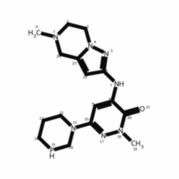 CN1CCn2nc(Nc3cc(N4CCCPC4)nn(C)c3=O)cc2C1